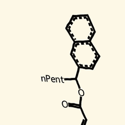 C=CC(=O)OC(CCCCC)c1ccc2ccccc2c1